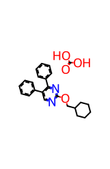 O=C(O)O.c1ccc(-c2cnc(OCC3CCCCC3)nc2-c2ccccc2)cc1